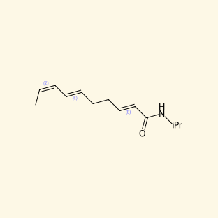 C/C=C\C=C\CC/C=C/C(=O)NC(C)C